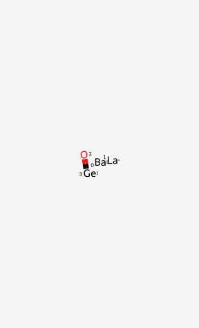 [Ba].[La].[O]=[Ge]